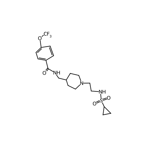 O=C(NCC1CCN(CCNS(=O)(=O)C2CC2)CC1)c1ccc(OC(F)(F)F)cc1